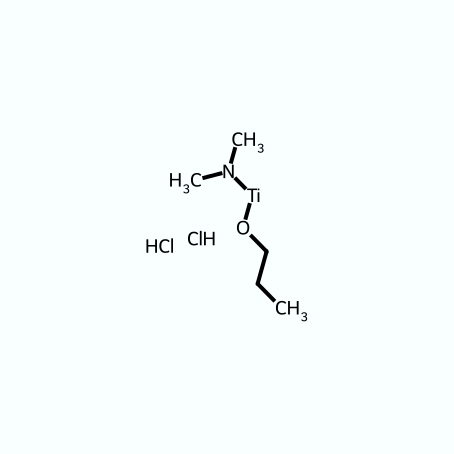 CCC[O][Ti][N](C)C.Cl.Cl